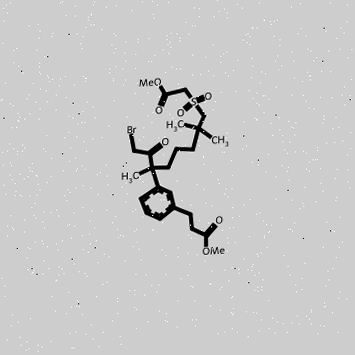 COC(=O)CCc1cccc(C(C)(CCCC(C)(C)CS(=O)(=O)CC(=O)OC)C(=O)CBr)c1